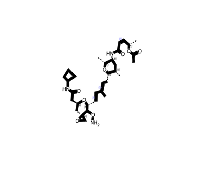 CC(=O)O[C@@H](C)/C=C\C(=O)N[C@@H]1C[C@H](C)[C@H](C/C=C(C)/C=C/[C@H]2O[C@H](CC(=O)NC3CCC3)C[C@@]3(CO3)C2ON)O[C@@H]1C